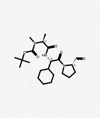 C[C@@H](C(=O)N[C@H](C(=O)N1CCC[C@H]1C=O)C1CCCCC1)N(C)C(=O)OC(C)(C)C